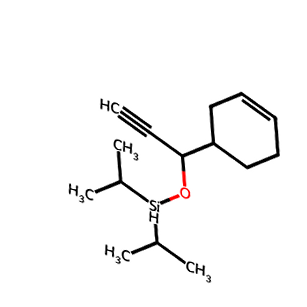 C#CC(O[SiH](C(C)C)C(C)C)C1CC=CCC1